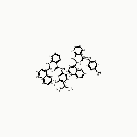 Cc1cc(NC(=O)c2cccnc2SCc2ccnc3ccccc23)ccc1C(C)C.O=C(Nc1ccc(O)cc1)c1cccnc1SCc1ccnc2ccccc12